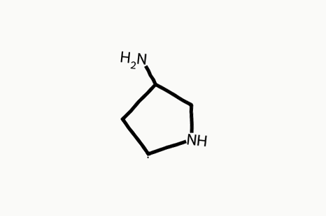 NC1C[CH]NC1